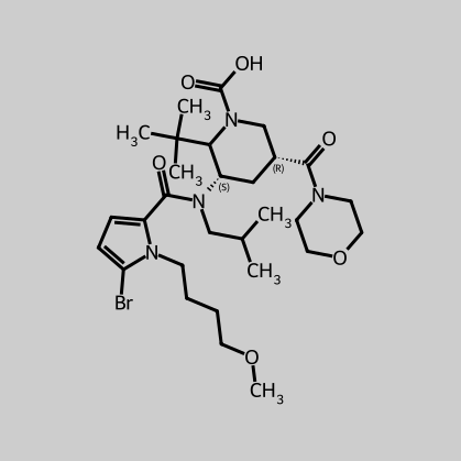 COCCCCn1c(Br)ccc1C(=O)N(CC(C)C)[C@H]1C[C@@H](C(=O)N2CCOCC2)CN(C(=O)O)C1C(C)(C)C